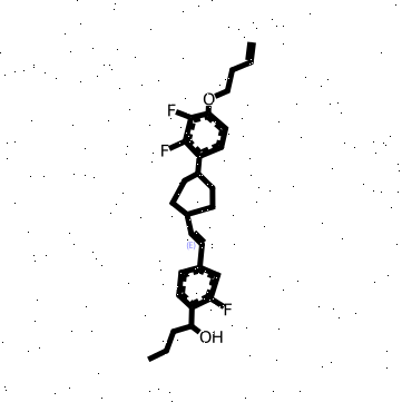 C=CCCOc1ccc(C2CCC(/C=C/c3ccc(C(O)CCC)c(F)c3)CC2)c(F)c1F